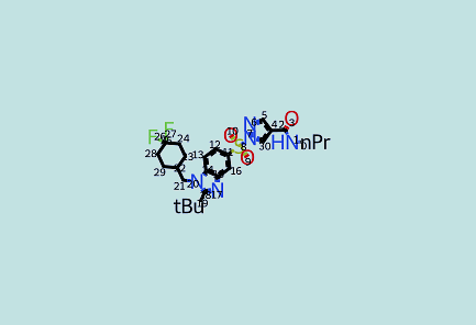 CCCNC(=O)c1cnn(S(=O)(=O)c2ccc3c(c2)nc(C(C)(C)C)n3CC2CCC(F)(F)CC2)c1